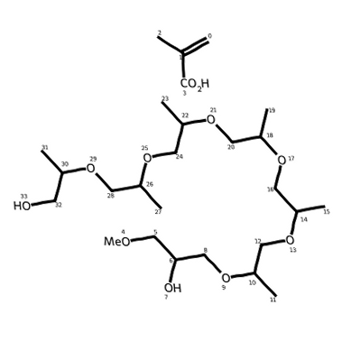 C=C(C)C(=O)O.COCC(O)COC(C)COC(C)COC(C)COC(C)COC(C)COC(C)CO